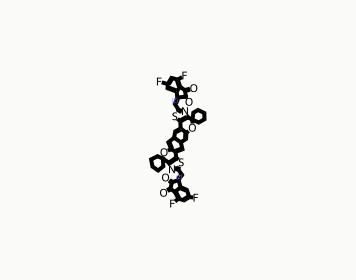 O=C1C(=O)c2c(F)cc(F)cc2/C1=C/c1nc2c(s1)C1=CC3C=C4OC5(CCCCC5)c5nc(/C=C6\C(=O)C(=O)c7c(F)cc(F)cc76)sc5C4=CC3C=C1OC21CCCCC1